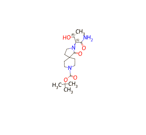 C[C@@H](O)[C@@H](C(N)=O)N1CCC2(CCN(C(=O)OC(C)(C)C)CC2)C1=O